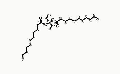 CCCCCCCCCCC(=O)O[Si](CC)(CC)OC(=O)CCCCCCCCCC